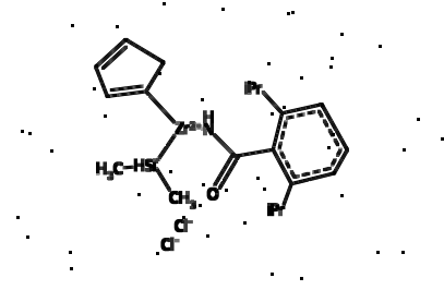 CC(C)c1cccc(C(C)C)c1C(=O)[NH][Zr+2]([C]1=CC=CC1)[SiH](C)C.[Cl-].[Cl-]